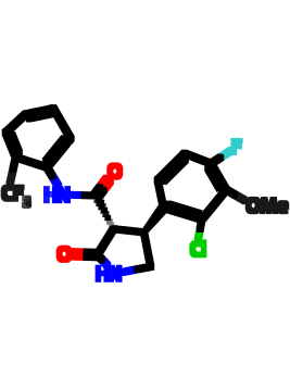 COc1c(F)ccc([C@H]2CNC(=O)[C@@H]2C(=O)Nc2ccccc2C(F)(F)F)c1Cl